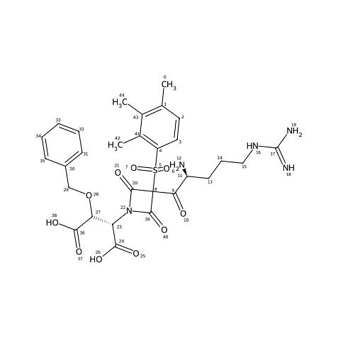 Cc1ccc(S(=O)(=O)C2(C(=O)[C@@H](N)CCCNC(=N)N)C(=O)N([C@H](C(=O)O)C(OCc3ccccc3)C(=O)O)C2=O)c(C)c1C